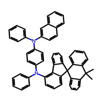 CC1(C)c2ccccc2C2(c3ccccc3-c3c(N(c4ccccc4)c4ccc(N(c5ccccc5)c5ccc6ccccc6c5)cc4)cccc32)c2ccccc21